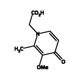 COc1c(C)n(CC(=O)O)ccc1=O